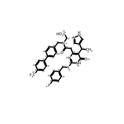 CC(c1cn[nH]c1)c1c(CC(=O)N(CC(=O)O)Cc2ccc(-c3ccc(C(F)(F)F)cc3)cc2)nc(SCc2ccc(F)cc2)[nH]c1=O